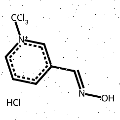 Cl.ON=Cc1ccc[n+](C(Cl)(Cl)Cl)c1